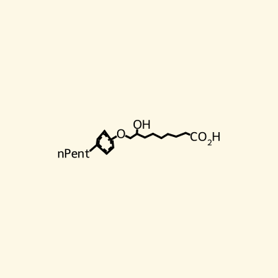 CCCCCc1ccc(OCC(O)CCCCCCC(=O)O)cc1